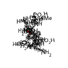 CSCC[C@H](NC(=O)CNC(=O)[C@H](CCCNC(=N)N)NC(=O)[C@@H]1CCCN1C(=O)[C@H](CCC(N)=O)NC(=O)[C@H](CO)NC(=O)[C@H](CC(=O)O)NC(=O)[C@H](CCCCN)NC(=O)[C@@H](N)Cc1ccc(O)cc1)C(=O)N[C@@H](C)C(=O)O